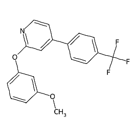 COc1cccc(Oc2cc(-c3ccc(C(F)(F)F)cc3)ccn2)c1